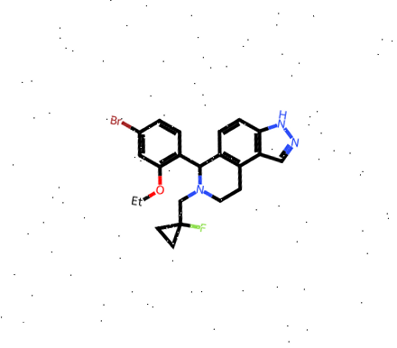 CCOc1cc(Br)ccc1C1c2ccc3[nH]ncc3c2CCN1CC1(F)CC1